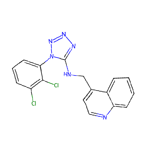 Clc1cccc(-n2nnnc2NCc2ccnc3ccccc23)c1Cl